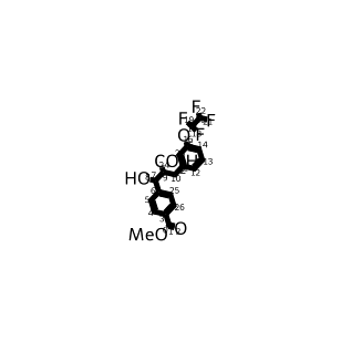 COC(=O)c1ccc(C(O)C(Cc2cccc(OC(F)(F)C(F)F)c2)C(=O)O)cc1